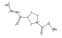 CC(C)(C)OC(=O)N1CCC(C(=O)N=NO)C1